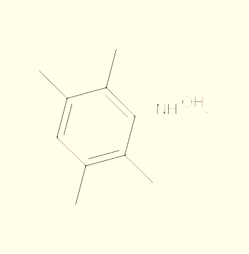 Cc1cc(C)c(C)cc1C.N.O